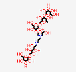 CC1OC(COC2OC(CO)C(O)C(OC3CN(CCCNCC(O)C(O)C(O)C(O)COC4OC(CO)C(O)C(O)C4O)CC(CO)O3)C2O)C(O)C(OC2OC(CO)C(O)C(O)C2O)C1O